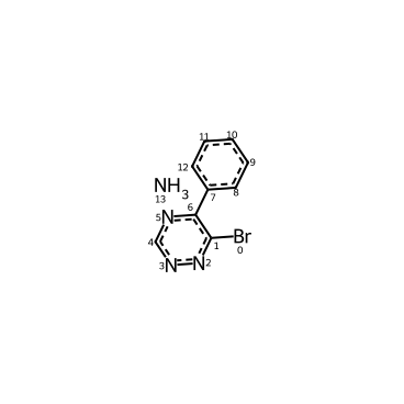 Brc1nncnc1-c1ccccc1.N